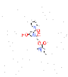 CC1CC(C(=O)OCCC(=O)N2CC(O)CC2C(=O)N2CCCCC2C)N(C)C1